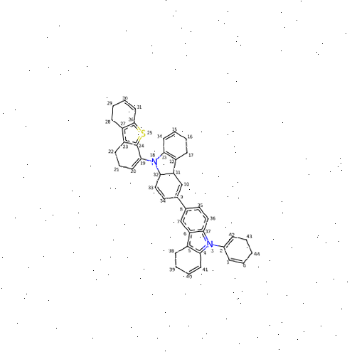 C1=CC(n2c3c(c4cc(C5=CC6C7=C(C=CCC7)N(C7=CCCc8c7sc7c8CCC=C7)C6C=C5)ccc42)CCC=C3)=CCC1